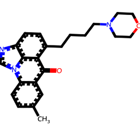 Cc1ccc2c(c1)c(=O)c1c(CCCCN3CCOCC3)ccc3ncn2c31